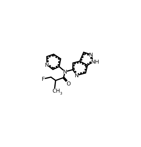 CC(CF)C(=O)N(c1cccnc1)c1cc2cn[nH]c2cn1